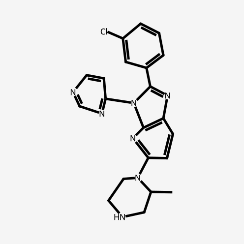 CC1CNCCN1c1ccc2nc(-c3cccc(Cl)c3)n(-c3ccncn3)c2n1